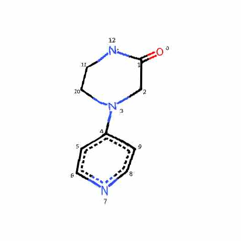 O=C1CN(c2ccncc2)CC[N]1